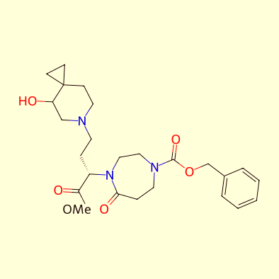 COC(=O)[C@H](CCN1CCC2(CC2)C(O)C1)N1CCN(C(=O)OCc2ccccc2)CCC1=O